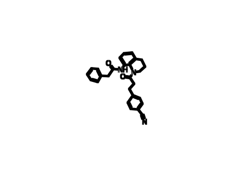 N#Cc1ccc(CCC(=O)N2CCCc3cccc(NC(=O)Cc4ccccc4)c32)cc1